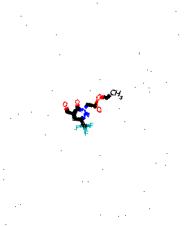 CCOC(=O)Cn1nc(C(F)(F)F)cc(C=O)c1=O